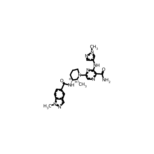 C[C@@H]1[C@H](NC(=O)c2ccc3c(cnn3C)c2)CCCN1c1cnc(C(N)=O)c(Nc2cnn(C)c2)n1